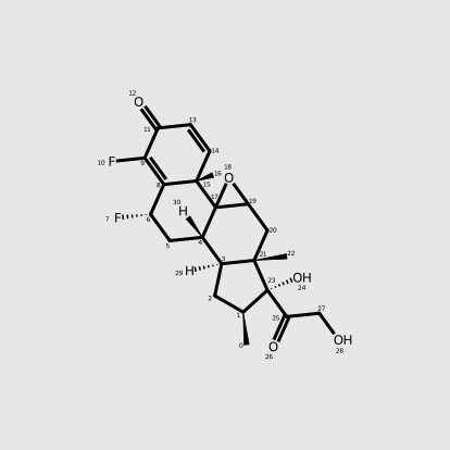 C[C@H]1C[C@H]2[C@@H]3C[C@H](F)C4=C(F)C(=O)C=C[C@]4(C)C34OC4C[C@]2(C)[C@@]1(O)C(=O)CO